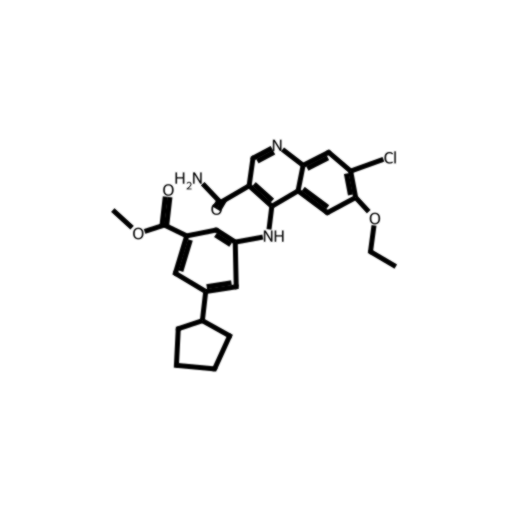 CCOc1cc2c(Nc3cc(C(=O)OC)cc(C4CCCC4)c3)c(C(N)=O)cnc2cc1Cl